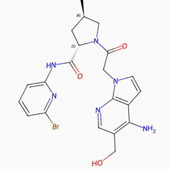 C[C@@H]1C[C@@H](C(=O)Nc2cccc(Br)n2)N(C(=O)Cn2ccc3c(N)c(CO)cnc32)C1